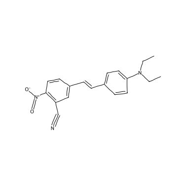 CCN(CC)c1ccc(C=Cc2ccc([N+](=O)[O-])c(C#N)c2)cc1